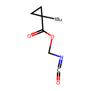 CC(C)(C)C1(C(=O)OCN=C=O)CC1